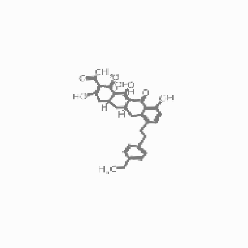 CCc1ccc(CCc2ccc(O)c3c2C[C@H]2C[C@H]4CC(O)=C(C(C)=O)C(=O)[C@@]4(O)C(O)=C2C3=O)cc1